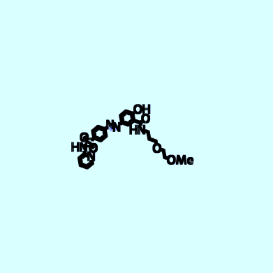 COCCOCCCNC(=O)c1cc(/N=N/c2ccc(S(=O)(=O)Nc3ccccn3)cc2)ccc1O